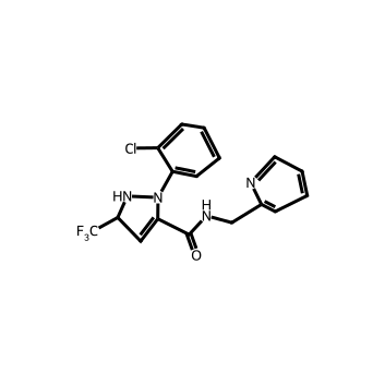 O=C(NCc1ccccn1)C1=CC(C(F)(F)F)NN1c1ccccc1Cl